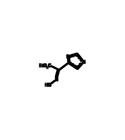 CCOC(=O)C(=NO)c1cncs1